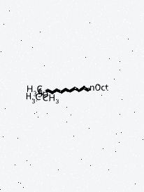 CCCCCCCCCCCCCCCCC[CH2][Sn]([CH3])([CH3])[CH3]